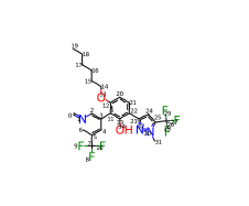 C=N/C=C(\C=C(/C)C(F)(F)F)c1c(OCCCCCC)ccc(-c2cc(C(F)(F)F)n(C)n2)c1O